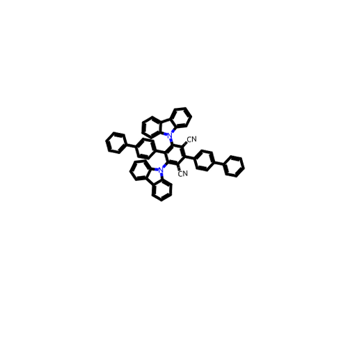 N#Cc1c(-c2ccc(-c3ccccc3)cc2)c(C#N)c(-n2c3ccccc3c3ccccc32)c(-c2ccc(-c3ccccc3)cc2)c1-n1c2ccccc2c2ccccc21